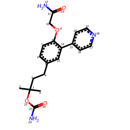 CC(C)(CCc1ccc(OCC(N)=O)c(-c2ccncc2)c1)OC(N)=O